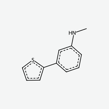 CNc1cccc(-c2cccs2)c1